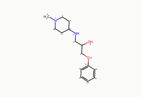 CN1CCC(NCC(O)COc2ccccc2)CC1